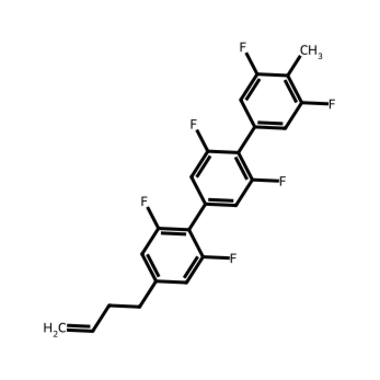 C=CCCc1cc(F)c(-c2cc(F)c(-c3cc(F)c(C)c(F)c3)c(F)c2)c(F)c1